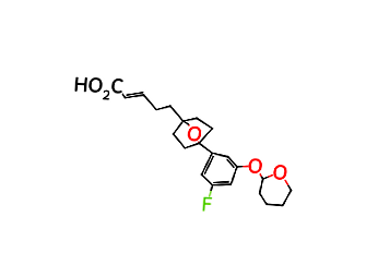 O=C(O)C=CCCC12CCC(c3cc(F)cc(OC4CCCCO4)c3)(CC1)OC2